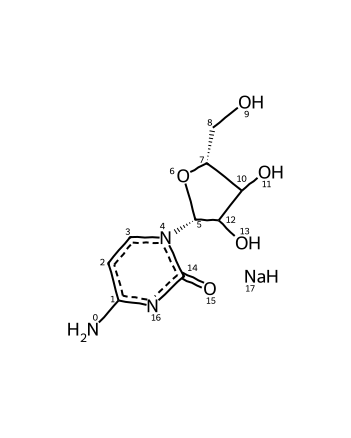 Nc1ccn([C@@H]2O[C@H](CO)C(O)C2O)c(=O)n1.[NaH]